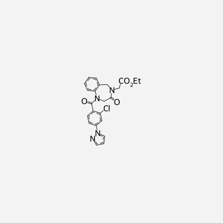 CCOC(=O)CN1Cc2ccccc2N(C(=O)c2ccc(-n3cccn3)cc2Cl)CC1=O